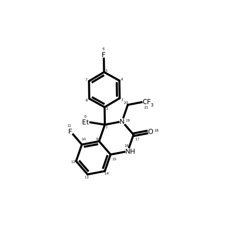 CCC1(c2ccc(F)cc2)c2c(F)cccc2NC(=O)N1CC(F)(F)F